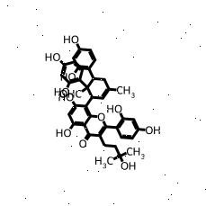 CC1=CC(c2c(O)cc(O)c3c(=O)c(CCC(C)(C)O)c(-c4ccc(O)cc4O)oc23)C(C=O)(c2ccc(O)cc2O)C(c2ccc(O)cc2O)C1